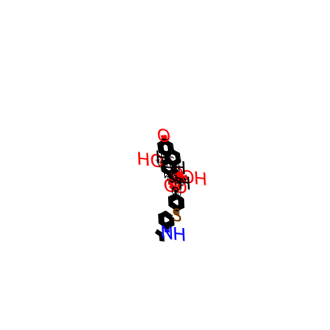 CC(C)Nc1cccc(Sc2ccc([C@@H]3O[C@@H]4C[C@H]5[C@@H]6CCC7=CC(=O)C=C[C@]7(C)[C@H]6[C@@H](O)C[C@]5(C)[C@]4(C(=O)CO)O3)cc2)c1